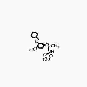 C[C@H](CNC(=O)OC(C)(C)C)Oc1cccc(OCC2CCCCC2)c1.Cl